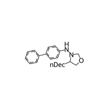 CCCCCCCCCCC1COCN1Nc1ccc(-c2ccccc2)cc1